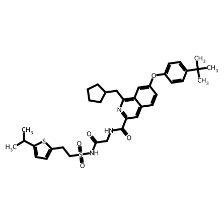 CC(C)c1ccc(CCS(=O)(=O)NC(=O)CNC(=O)c2cc3ccc(Oc4ccc(C(C)(C)C)cc4)cc3c(CC3CCCC3)n2)s1